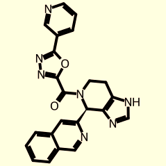 O=C(c1nnc(-c2cccnc2)o1)N1CCc2[nH]cnc2[C@H]1c1cc2ccccc2cn1